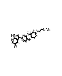 CNCCNC1CCCC(Nc2nc(-c3c[nH]c4ncc(Cl)cc34)ncc2F)C1